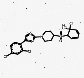 CC1(Cl)C=CC=CC1S(=O)(=O)C1CCN(c2nc(-c3ccc(Cl)cc3Cl)cs2)CC1